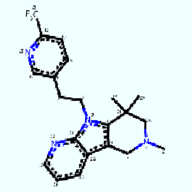 CN1Cc2c(n(CCc3ccc(C(F)(F)F)nc3)c3ncccc23)C(C)(C)C1